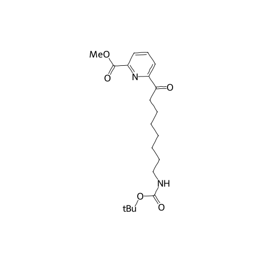 COC(=O)c1cccc(C(=O)CCCCCCCNC(=O)OC(C)(C)C)n1